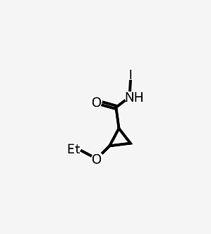 CCOC1CC1C(=O)NI